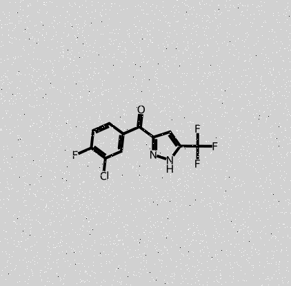 O=C(c1ccc(F)c(Cl)c1)c1cc(C(F)(F)F)[nH]n1